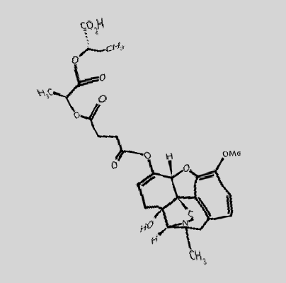 COc1ccc2c3c1O[C@H]1C(OC(=O)CCC(=O)O[C@@H](C)C(=O)O[C@@H](C)C(=O)O)=CC[C@@]4(O)[C@@H](C2)N(C)CC[C@]314